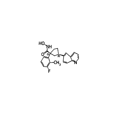 Cc1c(F)cccc1[C@]1(C(=O)NO)CC[C@@H](c2ccc3ncccc3c2)C1